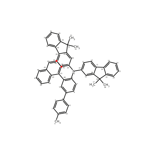 Cc1ccc(-c2ccc(N(c3ccc4c(c3)C(C)(C)c3ccccc3-4)c3ccc4c(c3)C(C)(C)c3ccccc3-4)c(-c3cccc4ccccc34)c2)cc1